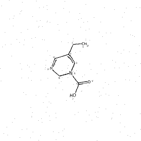 CCC1=CN(C(=O)O)CN=C1